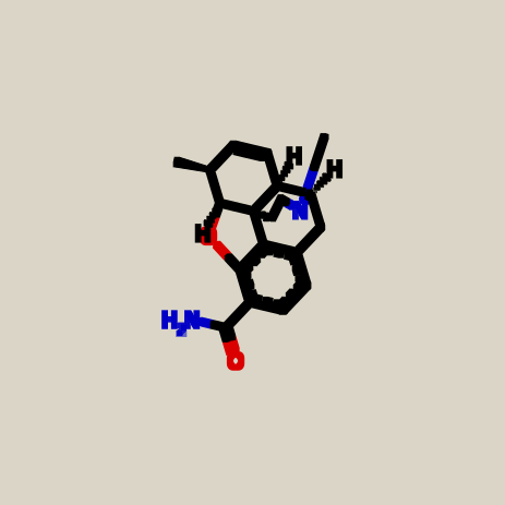 C[C@H]1C=C[C@H]2[C@H]3Cc4ccc(C(N)=O)c5c4[C@@]2(CCN3C)[C@H]1O5